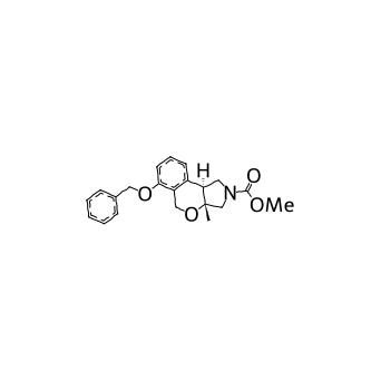 COC(=O)N1C[C@@H]2c3cccc(OCc4ccccc4)c3CO[C@@]2(C)C1